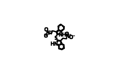 O=[N+]([O-])CCc1c(Sc2[nH]c3ccccc3c2CC[N+](=O)[O-])[nH]c2ccccc12